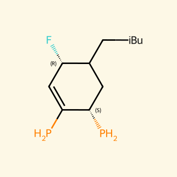 CCC(C)CC1C[C@H](P)C(P)=C[C@@H]1F